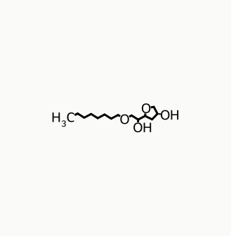 CCCCCCCCOCC(O)C1C[C@H](O)CO1